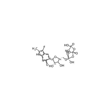 Cc1[nH]c2nc(=O)n([C@@H]3O[C@H](COP(=O)(O)OP(=O)(O)OP(=O)(O)O)C(O)[C@@H]3O)cc2c1F